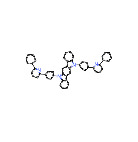 c1ccc(-c2cccc(-c3ccc(-n4c5ccccc5c5cc6c(cc54)c4ccccc4n6-c4ccc(-c5cccc(-c6ccccc6)n5)cc4)cc3)n2)cc1